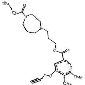 C#CCOc1cc(C(=O)OCCCN2CCCN(C(=O)OC(C)(C)C)CC2)cc(OC)c1OC